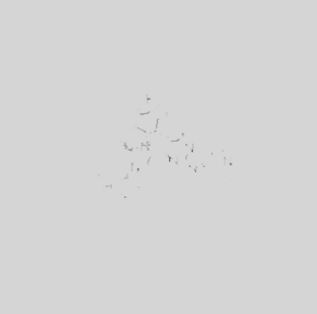 CN1CCC(Nc2nccc(-c3cn(C4CCOCC4)c(=O)n3-c3ccc(F)cc3)n2)CC1